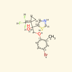 Cc1cc(Br)ccc1OCC(O)(c1cncs1)C1(C(F)(F)F)CC1